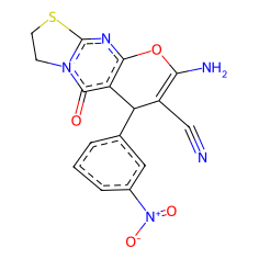 N#CC1=C(N)Oc2nc3n(c(=O)c2C1c1cccc([N+](=O)[O-])c1)CCS3